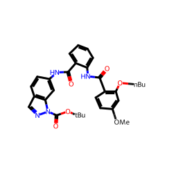 CCCCOc1cc(OC)ccc1C(=O)Nc1ccccc1C(=O)Nc1ccc2cnn(C(=O)OC(C)(C)C)c2c1